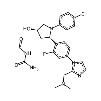 CN(C)Cc1nccn1-c1ccc([C@H]2C[C@@H](O)CN2c2ccc(Cl)cc2)c(F)c1.NC(=O)NC=O